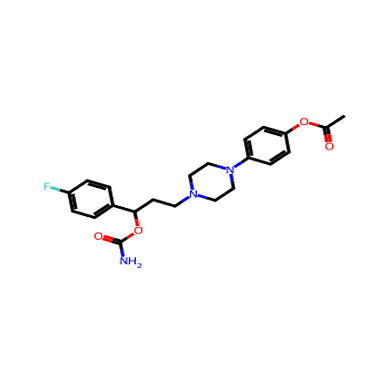 CC(=O)Oc1ccc(N2CCN(CCC(OC(N)=O)c3ccc(F)cc3)CC2)cc1